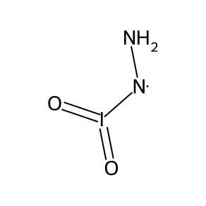 N[N]I(=O)=O